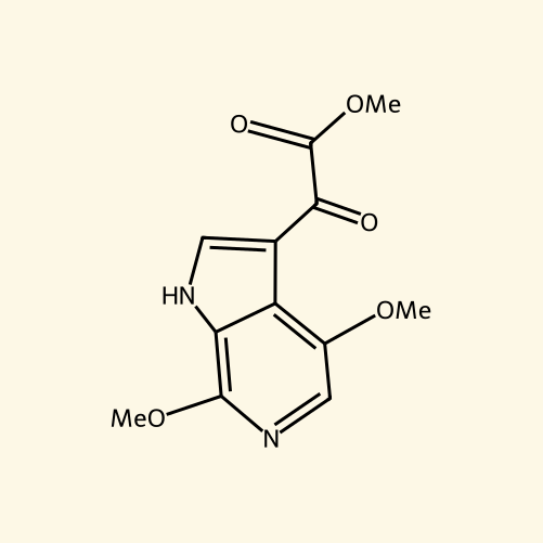 COC(=O)C(=O)c1c[nH]c2c(OC)ncc(OC)c12